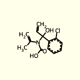 C=CC(O)(c1ccccc1Cl)N(C(=C)C)C(=O)O